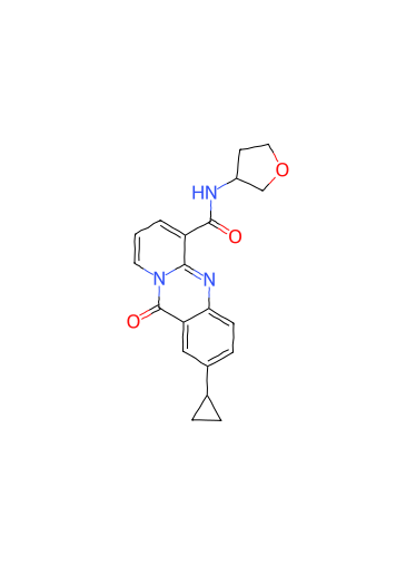 O=C(NC1CCOC1)c1cccn2c(=O)c3cc(C4CC4)ccc3nc12